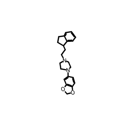 c1ccc2c(c1)CCC2CCN1CCN(c2ccc3c(c2)OCO3)CC1